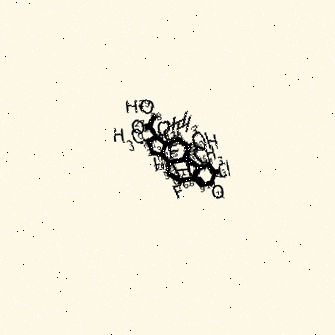 C[C@@H]1C[C@H]2[C@@H]3C[C@H](F)C4=CC(=O)C(Cl)=C[C@]4(C)C3(F)[C@@H](O)C[C@]2(C)[C@@]1(O)C(=O)CO